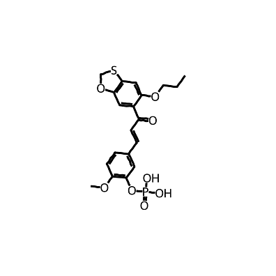 CCCOc1cc2c(cc1C(=O)C=Cc1ccc(OC)c(OP(=O)(O)O)c1)OCS2